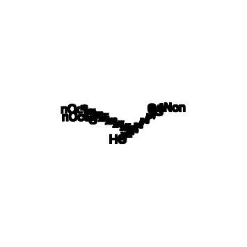 CCCCCCCCCOC(=O)CCCCCCCN(CCO)CCCCCCCCCC(=O)CC(CCCCCCCC)CCCCCCCC